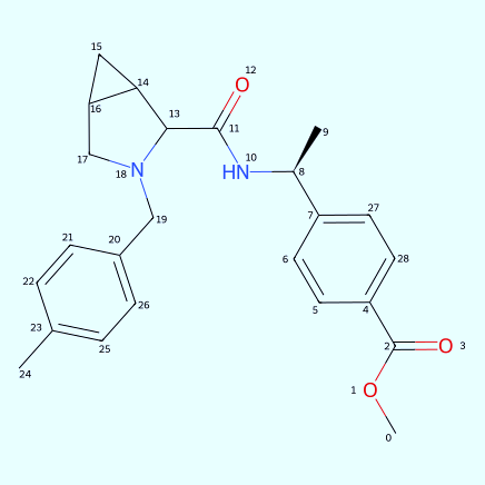 COC(=O)c1ccc([C@H](C)NC(=O)C2C3CC3CN2Cc2ccc(C)cc2)cc1